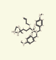 C=CCC[C@@H](CCC1(C)NNCO1)S(=O)(=O)N(Cc1ccc(OC)cc1)Cc1ccc(OC)cc1